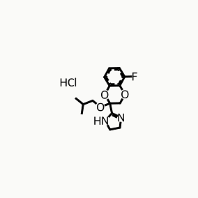 CC(C)COC1(C2=NCCN2)COc2c(F)cccc2O1.Cl